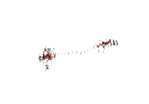 CC(C)[C@H](NC(=O)[C@H](CC(=O)NCCOCCOCCOCCOCCOCCOCCOCCOCCOCCOCCOCCOCCC(=O)NC[C@H](O)[C@@H](O)[C@H](O)[C@H](O)CO)NC(=O)CCCCCN1C(=O)C=CC1=O)C(=O)N[C@@H](CCCNC(N)=O)C(=O)Nc1ccc(CO)cc1